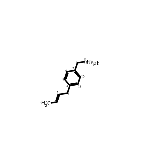 [CH2]C=CCc1ccc(CCCCCCCC)cc1